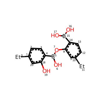 CCc1ccc(B(O)Oc2cc(CC)ccc2B(O)O)c(O)c1